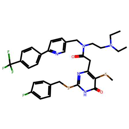 CCN(CC)CCN(Cc1ccc(-c2ccc(C(F)(F)F)cc2)nc1)C(=O)Cc1nc(SCc2ccc(F)cc2)[nH]c(=O)c1SC